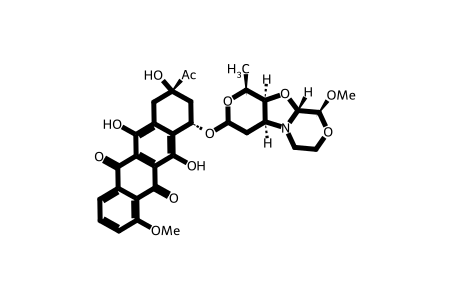 COc1cccc2c1C(=O)c1c(O)c3c(c(O)c1C2=O)C[C@@](O)(C(C)=O)C[C@@H]3OC1C[C@H]2[C@H](O[C@@H]3[C@@H](OC)OCCN32)[C@H](C)O1